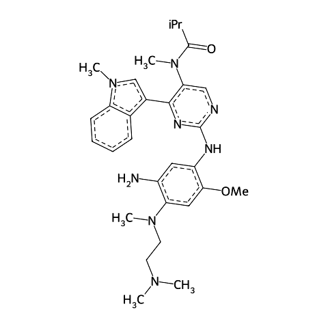 COc1cc(N(C)CCN(C)C)c(N)cc1Nc1ncc(N(C)C(=O)C(C)C)c(-c2cn(C)c3ccccc23)n1